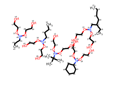 CC(C)(C)N(OCCO)OCCO.CCCCC(CC)CN(OCCO)OCCO.CCCCN(OCCO)OCCO.CCCN(OCCO)OCCO.OCCON(OCCO)C1CCCCC1